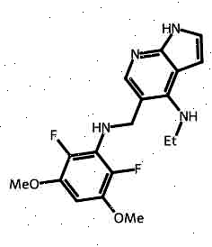 CCNc1c(CNc2c(F)c(OC)cc(OC)c2F)cnc2[nH]ccc12